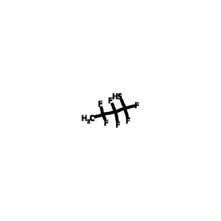 CC(F)(F)C(F)(F)C(F)(F)S